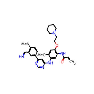 C=CC(=O)Nc1cc(Nc2cc(-c3ccc(NC)c(C=N)c3)ncn2)c(OC)cc1OCCN1CCCCC1